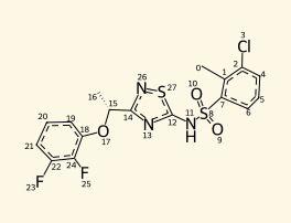 Cc1c(Cl)cccc1S(=O)(=O)Nc1nc([C@@H](C)Oc2cccc(F)c2F)ns1